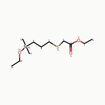 CCOC(=O)CSCCC[Si](C)(C)OCC